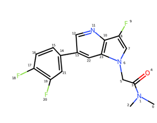 CN(C)C(=O)Cn1cc(F)c2ncc(-c3ccc(F)c(F)c3)cc21